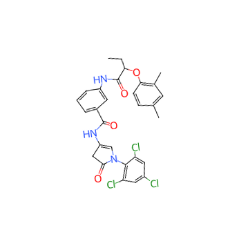 CCC(Oc1ccc(C)cc1C)C(=O)Nc1cccc(C(=O)NC2=CN(c3c(Cl)cc(Cl)cc3Cl)C(=O)C2)c1